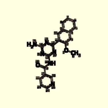 COc1cc2ccccc2cc1-c1nc(N)nc(NC(=O)c2cccnc2)n1